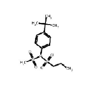 CCCS(=O)(=O)N(c1ccc(C(C)(C)C)cc1)S(C)(=O)=O